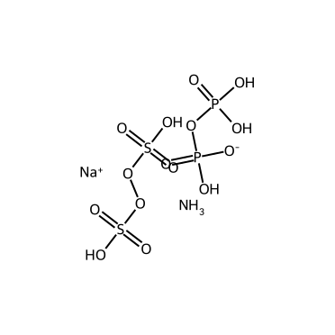 N.O=P([O-])(O)OP(=O)(O)O.O=S(=O)(O)OOS(=O)(=O)O.[Na+]